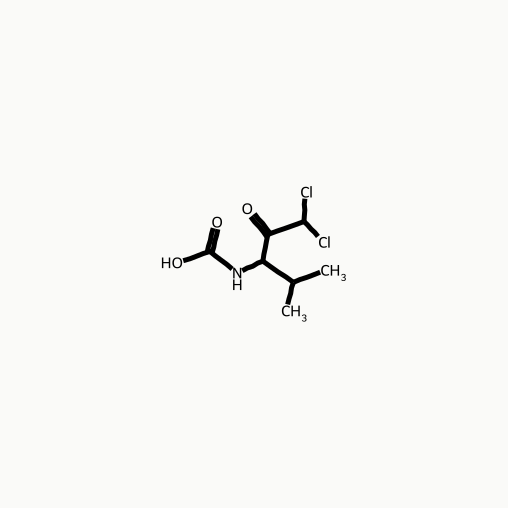 CC(C)C(NC(=O)O)C(=O)C(Cl)Cl